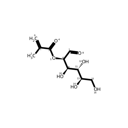 C=C(C)C(=O)O[C@@H](C=O)[C@H](O)[C@H](O)[C@H](O)CO